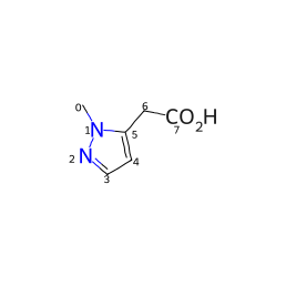 Cn1nccc1CC(=O)O